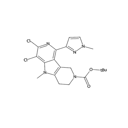 Cn1ccc(-c2nc(Cl)c(Cl)c3c2c2c(n3C)CCN(C(=O)OC(C)(C)C)C2)n1